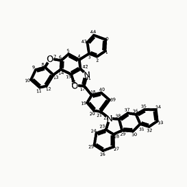 c1ccc(-c2cc3oc4ccccc4c3c3oc(-c4ccc(-n5c6ccccc6c6cc7ccccc7cc65)cc4)nc23)cc1